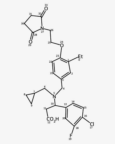 CCc1cc(CN(CC2CC2)C(CC(=O)O)c2ccc(Cl)c(F)c2)ccc1OCCN1C(=O)CCC1=O